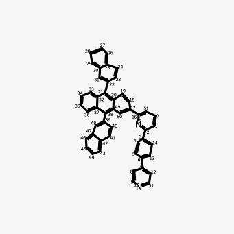 c1cc(-c2ccc(-c3ccncc3)cc2)nc(-c2ccc3c(-c4ccc5ccccc5c4)c4ccccc4c(-c4ccc5ccccc5c4)c3c2)c1